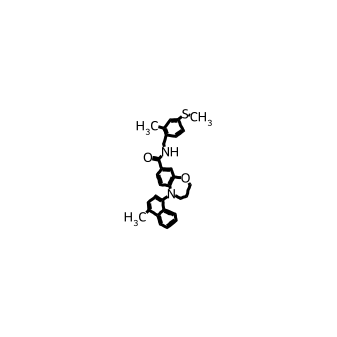 CSc1ccc(CNC(=O)c2ccc3c(c2)OCCCN3c2ccc(C)c3ccccc23)c(C)c1